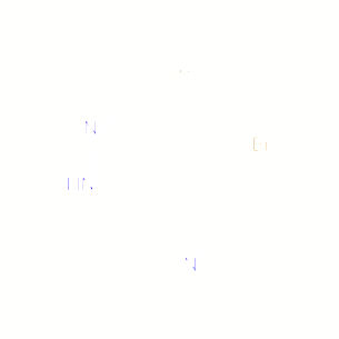 CC(C)c1n[nH]c2cncc(Br)c12